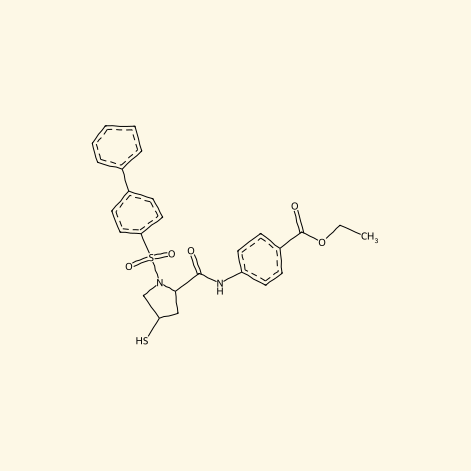 CCOC(=O)c1ccc(NC(=O)C2CC(S)CN2S(=O)(=O)c2ccc(-c3ccccc3)cc2)cc1